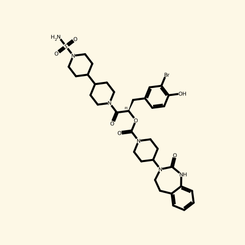 NS(=O)(=O)N1CCC(C2CCN(C(=O)[C@@H](Cc3ccc(O)c(Br)c3)OC(=O)N3CCC(N4CCc5ccccc5NC4=O)CC3)CC2)CC1